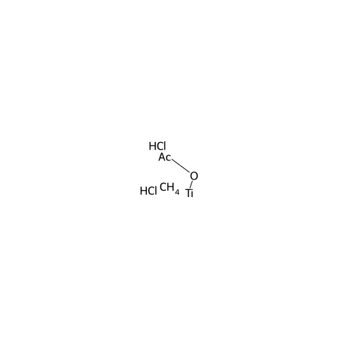 C.CC(=O)[O][Ti].Cl.Cl